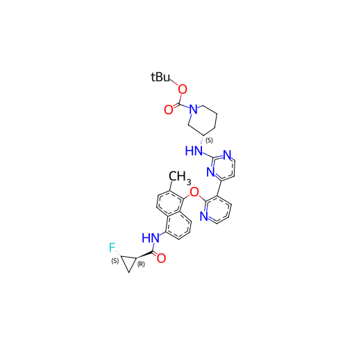 Cc1ccc2c(NC(=O)[C@H]3C[C@@H]3F)cccc2c1Oc1ncccc1-c1ccnc(N[C@H]2CCCN(C(=O)OC(C)(C)C)C2)n1